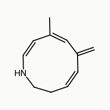 C=C1/C=C\CCN/C=C\C(C)=C/1